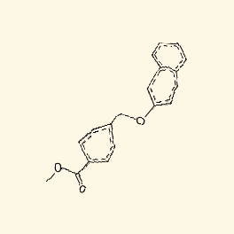 COC(=O)c1ccc(COc2ccc3ccccc3c2)cc1